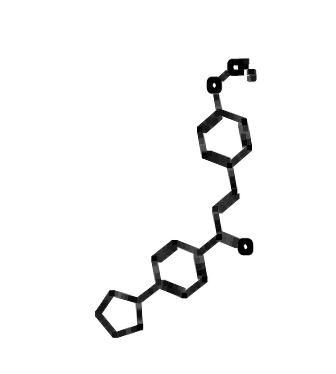 O=C(/C=C/c1ccc(OC(F)(F)F)cc1)c1ccc(C2CCCC2)cc1